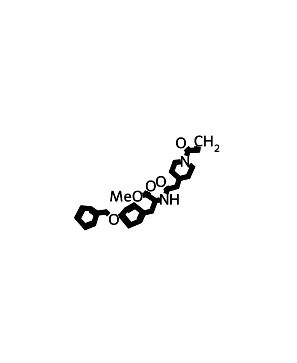 C=CC(=O)N1CCC(CC(=O)NC(Cc2ccc(OCc3ccccc3)cc2)C(=O)OC)CC1